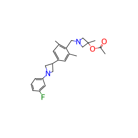 CC(=O)OC1(C)CN(Cc2c(C)cc(C3CN(c4cccc(F)c4)C3)cc2C)C1